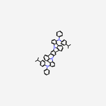 CC(C)c1ccc(N(c2ccccc2)c2cccc3c2c2cccc4c5cc6c(cc5n3c42)c2cccc3c4c(N(c5ccccc5)c5ccc(C(C)C)cc5)cccc4n6c23)cc1